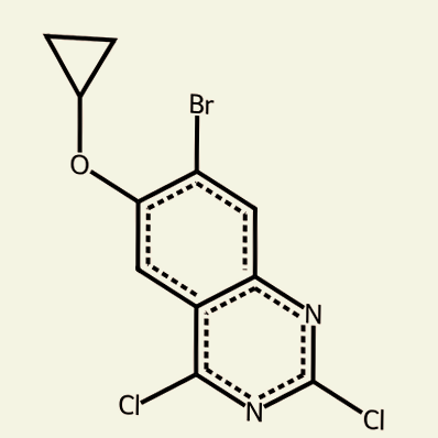 Clc1nc(Cl)c2cc(OC3CC3)c(Br)cc2n1